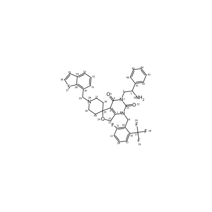 NC(Cn1c(=O)c2c(n(Cc3c(F)cccc3C(F)(F)F)c1=O)COC21CCN(Cc2cccc3ccsc23)CC1)c1ccccc1